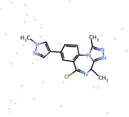 Cc1nnc2n1-c1ccc(-c3cnn(C)c3)cc1C(Cl)=NC2C